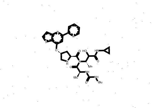 CCC[C@@H](C(O)C(=O)NC1CC1)N(C(=O)[C@@H]1C[C@@H](Oc2cc(-c3ccccn3)nc3ccsc23)CN1)C(=O)[C@@H](NC(=O)NC(C)(C)C)C(C)(C)C